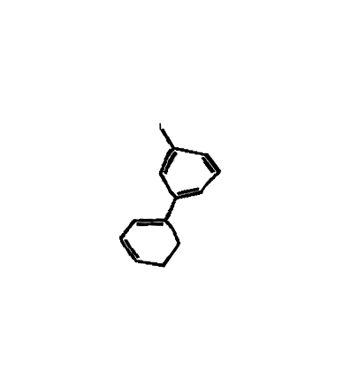 Ic1cccc(C2=CC=CCC2)c1